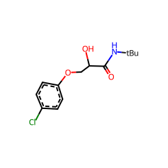 CC(C)(C)NC(=O)C(O)COc1ccc(Cl)cc1